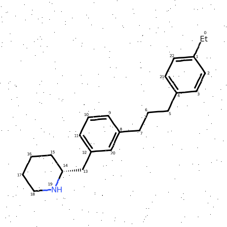 CCc1ccc(CCCc2cccc(C[C@H]3CCCCN3)c2)cc1